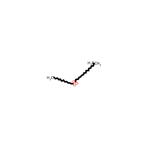 CCCCCCCCCCCCCC(=O)OC(=O)CCCCCCCCCCCCCCC(C)C